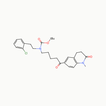 CN1C(=O)CCc2cc(C(=O)CCCCN(CCc3ccccc3Cl)C(=O)OC(C)(C)C)ccc21